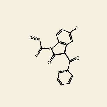 CCCCCCCCCC(=O)N1C(=O)C(C(=O)c2ccccc2)c2cc(F)ccc21